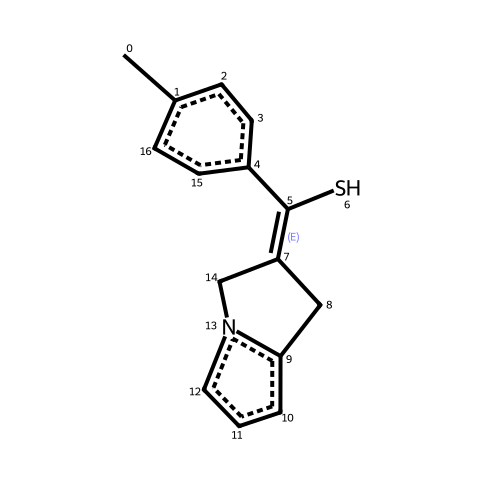 Cc1ccc(/C(S)=C2/Cc3cccn3C2)cc1